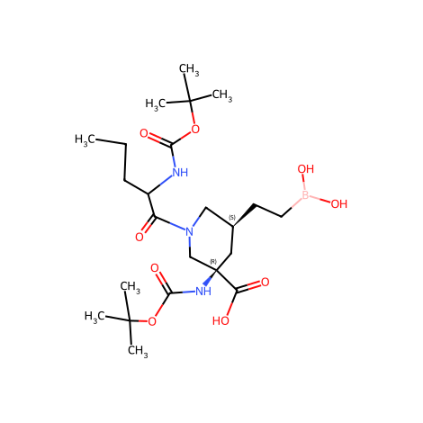 CCCC(NC(=O)OC(C)(C)C)C(=O)N1C[C@@H](CCB(O)O)C[C@](NC(=O)OC(C)(C)C)(C(=O)O)C1